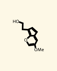 COc1coc2c(CCO)ccc-2c1